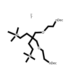 CCCCCCCCCCCCOCC(CC[N+](C)(C)C)(CC[N+](C)(C)C)COCCCCCCCCCCCC.[I-].[I-]